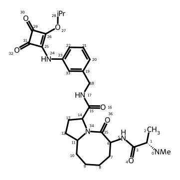 CN[C@@H](C)C(=O)NC1CCCCC2CCC(C(=O)NCc3cccc(Nc4c(OC(C)C)c(=O)c4=O)c3)N2C1=O